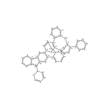 C1=CCC(n2c3ccccc3c3ccc(C4=CC=CC5c6c7ccc(-c8ccccc8)c6Sc6ccccc6C6=C7CCC=C6SC45)cc32)C=C1